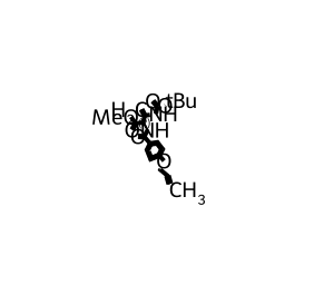 C=C(NC(=O)OC(C)(C)C)[C@@H](NC(=O)c1ccc(OCC#CC)cc1)C(=O)OC